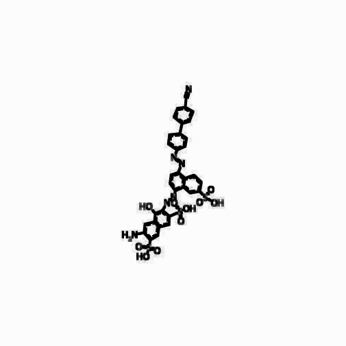 N#Cc1ccc(-c2ccc(N=Nc3ccc(N=Nc4c(S(=O)(=O)O)cc5cc(S(=O)(=O)O)c(N)cc5c4O)c4cc(S(=O)(=O)O)ccc34)cc2)cc1